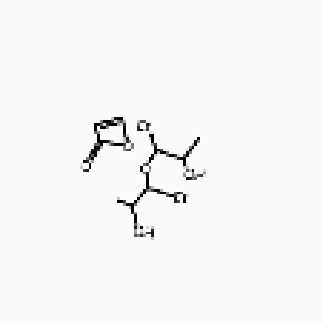 CCC(OC(CC)C(C)O)C(C)O.O=C1C=CO1